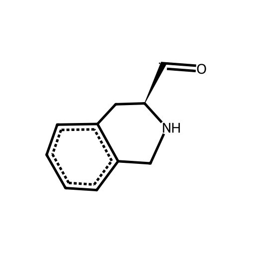 O=[C][C@@H]1Cc2ccccc2CN1